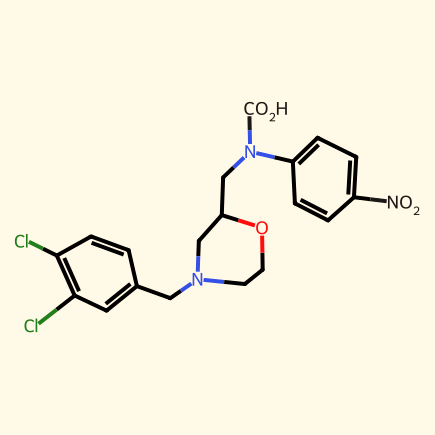 O=C(O)N(CC1CN(Cc2ccc(Cl)c(Cl)c2)CCO1)c1ccc([N+](=O)[O-])cc1